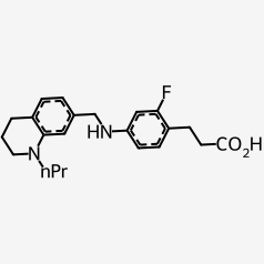 CCCN1CCCc2ccc(CNc3ccc(CCC(=O)O)c(F)c3)cc21